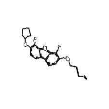 C=CCCCOc1ccc2c(oc3c(F)c(OC4CCCC4)ccc32)c1F